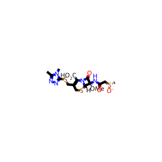 CO[C@@]1(NC(=O)C[S+](C)[O-])C(=O)N2C(C(=O)O)=C(CSc3nnc(C)n3C)CS[C@H]21